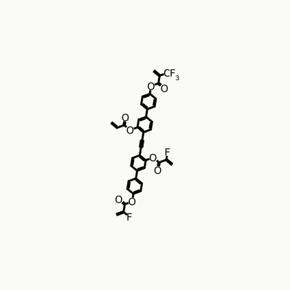 C=CC(=O)Oc1cc(-c2ccc(OC(=O)C(=C)C(F)(F)F)cc2)ccc1C#Cc1ccc(-c2ccc(OC(=O)C(=C)F)cc2)cc1OC(=O)C(=C)F